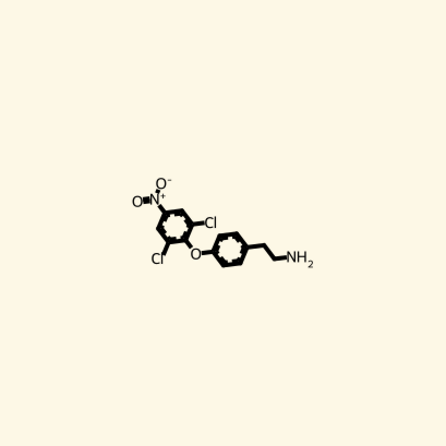 NCCc1ccc(Oc2c(Cl)cc([N+](=O)[O-])cc2Cl)cc1